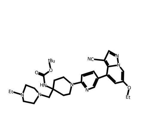 CCOc1cc(-c2ccc(N3CCC(CN4CCN(CC)CC4)(NC(=O)OC(C)(C)C)CC3)nc2)c2c(C#N)cnn2c1